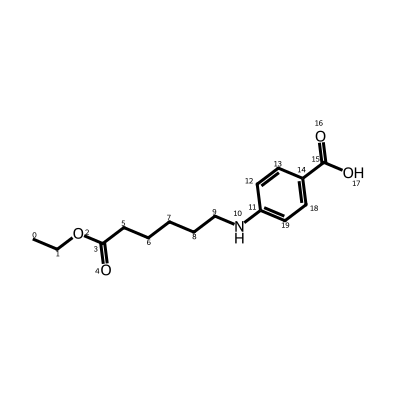 CCOC(=O)CCCCCNc1ccc(C(=O)O)cc1